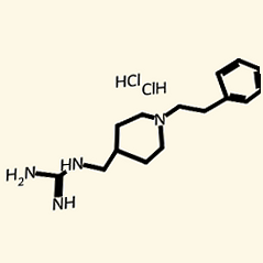 Cl.Cl.N=C(N)NCC1CCN(CCc2ccccc2)CC1